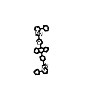 c1ccc(-c2cccn3cc(-c4ccc(-c5c6ccccc6c(-c6ccc(-c7cn8c(-c9ccccc9)cccc8n7)cc6)c6ccccc56)cc4)nc23)cc1